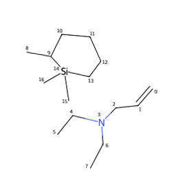 C=CCN(CC)CC.CC1CCCC[Si]1(C)C